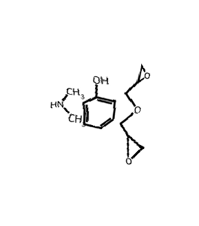 C(OCC1CO1)C1CO1.CNC.Oc1ccccc1